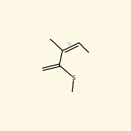 C=C(SC)/C(C)=C\C